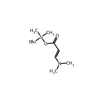 CN(C)/C=C/C(=O)O[Si](C)(C)C(C)(C)C